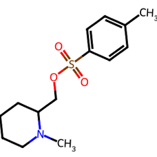 Cc1ccc(S(=O)(=O)OCC2CCCCN2C)cc1